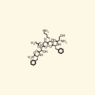 NCCCC[C@H](NC(=O)[C@H](Cc1ccccc1)NC(=O)[C@@H](N)CO)C(=O)N[C@@H](CC(N)=O)C(=O)NC(O)C(=O)N[C@@H](Cc1ccccc1)C(N)=O